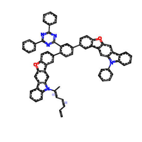 C=C/C=C\C=C(/C)n1c2ccccc2c2cc3oc4ccc(-c5ccc(-c6ccc7oc8cc9c%10ccccc%10n(-c%10ccccc%10)c9cc8c7c6)cc5-c5nc(-c6ccccc6)nc(-c6ccccc6)n5)cc4c3cc21